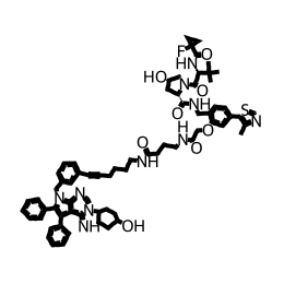 Cc1ncsc1-c1ccc(CNC(=O)[C@@H]2C[C@@H](O)CN2C(=O)[C@@H](NC(=O)C2(F)CC2)C(C)(C)C)c(OCC(=O)NCCCC(=O)NCCCCC#Cc2cccc(Cn3c(-c4ccccc4)c(-c4ccccc4)c4c(=N)n(C5CCC(O)CC5)cnc43)c2)c1